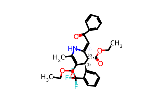 CCOC(=O)C1=C(C)N/C(=C\C(=O)c2ccccc2)[C@H](C(=O)OCC)[C@H]1c1ccccc1C(F)(F)F